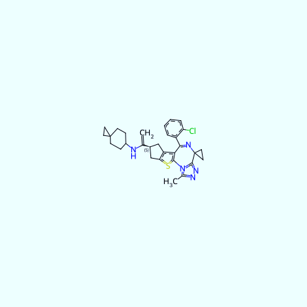 C=C(NC1CCC2(CC1)CC2)[C@@H]1Cc2sc3c(c2C1)C(c1ccccc1Cl)=NC1(CC1)c1nnc(C)n1-3